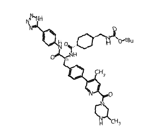 Cc1cc(C(=O)N2CCNC(C)C2)ncc1-c1ccc(C[C@H](NC(=O)[C@H]2CC[C@H](CNC(=O)OC(C)(C)C)CC2)C(=O)Nc2ccc(-c3nnn[nH]3)cc2)cc1